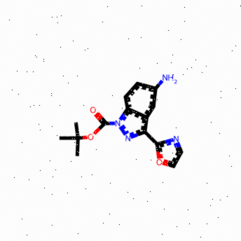 CC(C)(C)OC(=O)n1nc(-c2ncco2)c2cc(N)ccc21